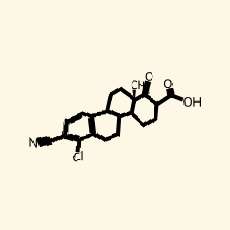 C[C@]12CCC3c4ccc(C#N)c(Cl)c4CCC3C1CCC(C(=O)O)C2=O